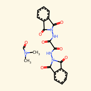 CN(C)C=O.O=C(NN1C(=O)c2ccccc2C1=O)C(=O)NN1C(=O)c2ccccc2C1=O